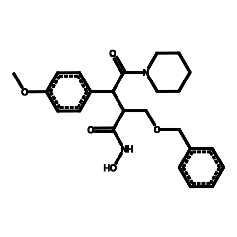 COc1ccc(C(C(=O)N2CCCCC2)C(COCc2ccccc2)C(=O)NO)cc1